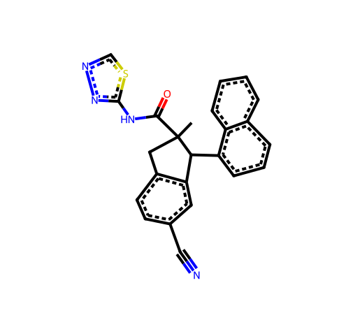 CC1(C(=O)Nc2nncs2)Cc2ccc(C#N)cc2C1c1cccc2ccccc12